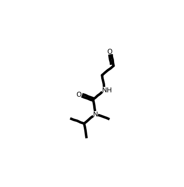 CC(C)N(C)C(=O)NCC=O